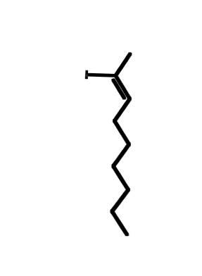 CCCCCCC=C(C)I